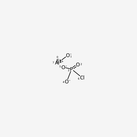 CC[O-].O=P([O-])([O-])Cl.[Al+3]